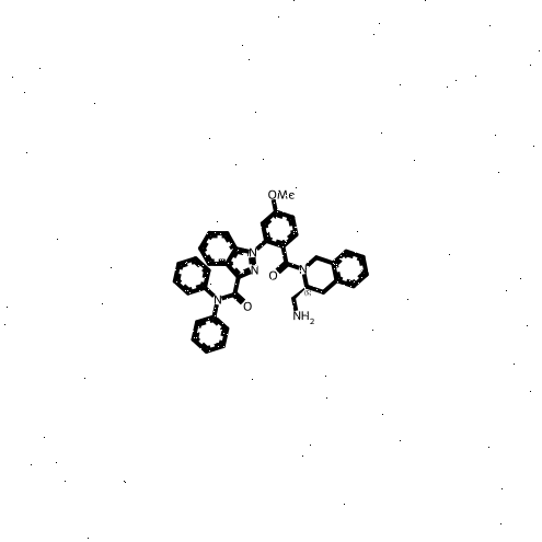 COc1ccc(C(=O)N2Cc3ccccc3C[C@H]2CN)c(-n2nc(C(=O)N(c3ccccc3)c3ccccc3)c3ccccc32)c1